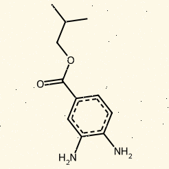 CC(C)COC(=O)c1ccc(N)c(N)c1